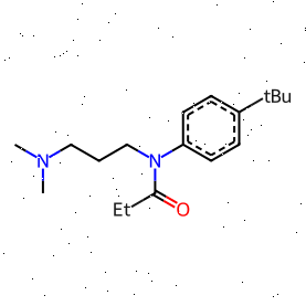 CCC(=O)N(CCCN(C)C)c1ccc(C(C)(C)C)cc1